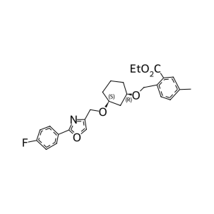 CCOC(=O)c1cc(C)ccc1CO[C@@H]1CCC[C@H](OCc2coc(-c3ccc(F)cc3)n2)C1